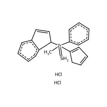 Cl.Cl.[CH3][Zr](=[SiH2])([C]1=CC=CC1)([c]1ccccc1)[CH]1C=Cc2ccccc21